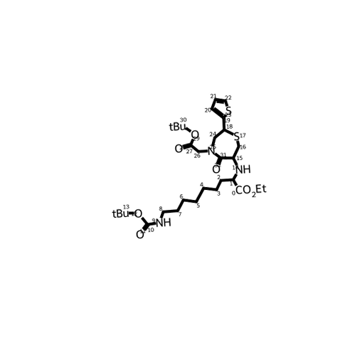 CCOC(=O)C(CCCCCCCNC(=O)OC(C)(C)C)NC1CSC(c2cccs2)CN(CC(=O)OC(C)(C)C)C1=O